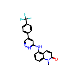 Cn1c(=O)ccc2c(Nc3cc(-c4ccc(C(F)(F)F)cc4)cnn3)cccc21